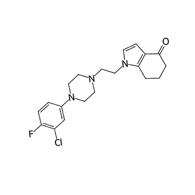 O=C1CCCc2c1ccn2CCN1CCN(c2ccc(F)c(Cl)c2)CC1